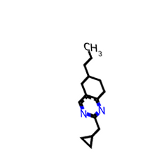 CCCC1CCc2nc(CC3CC3)ncc2C1